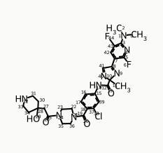 CN(C)c1nc(F)c(C2=NC(C)(C(=O)Nc3ccc(C(=O)N4CCN(C(=O)CC5(O)CCNCC5)CC4)c(Cl)c3)N=C2)cc1F